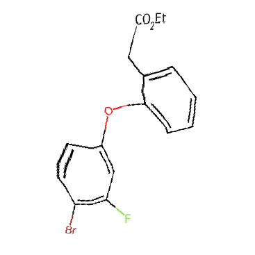 CCOC(=O)Cc1ccccc1Oc1ccc(Br)c(F)c1